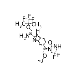 CC(C)(OC[C@H](N)c1nc2cc([C@@H](COC3CC3)N3CC(F)(F)CNC3=O)ccc2[nH]1)C(F)(F)F